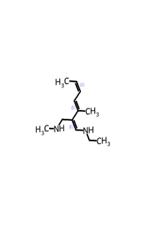 C\C=C/C=C(C)/C(=C\NCC)CNC